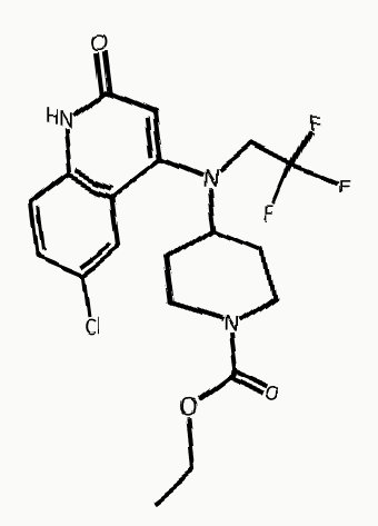 CCOC(=O)N1CCC(N(CC(F)(F)F)c2cc(=O)[nH]c3ccc(Cl)cc23)CC1